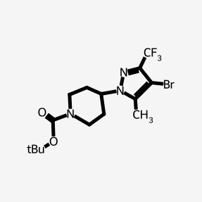 Cc1c(Br)c(C(F)(F)F)nn1C1CCN(C(=O)OC(C)(C)C)CC1